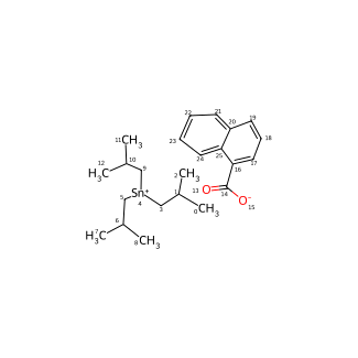 CC(C)[CH2][Sn+]([CH2]C(C)C)[CH2]C(C)C.O=C([O-])c1cccc2ccccc12